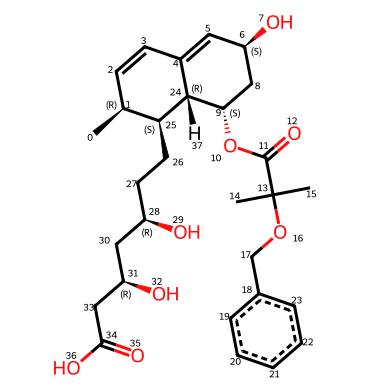 C[C@H]1C=CC2=C[C@@H](O)C[C@H](OC(=O)C(C)(C)OCc3ccccc3)[C@@H]2[C@H]1CC[C@@H](O)C[C@@H](O)CC(=O)O